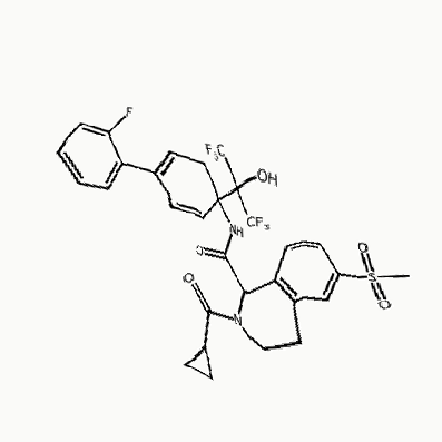 CS(=O)(=O)c1ccc2c(c1)CCN(C(=O)C1CC1)C2C(=O)NC1(C(O)(C(F)(F)F)C(F)(F)F)C=CC(c2ccccc2F)=CC1